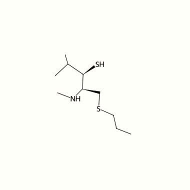 CCCSC[C@@H](NC)[C@H](S)C(C)C